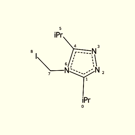 CC(C)c1nnc(C(C)C)n1CI